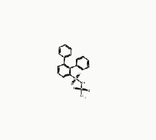 NS(=O)(=O)NS(=O)(=O)c1cccc(-c2ccccc2)c1-c1ccccc1